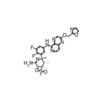 C[C@@H]1[C@@](C)(S(C)(=O)=O)SC(N)=N[C@]1(C)c1cc(Nc2nccc3nc(OCc4ncco4)cnc23)cc(F)c1F